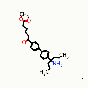 CCCC(N)(CCC)c1ccc(-c2ccc(C(=O)CCCCC(=O)OC)cc2)cc1